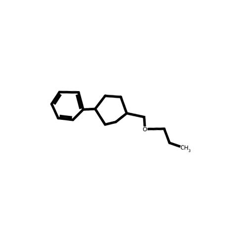 CCCOCC1CCC(c2ccccc2)CC1